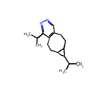 CC(C)c1nncc2c1CCC1C(CC2)C1C(C)C